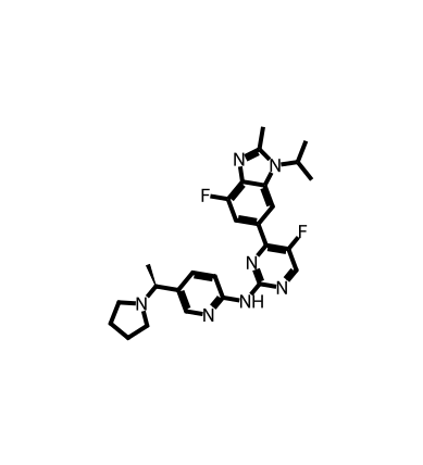 Cc1nc2c(F)cc(-c3nc(Nc4ccc([C@H](C)N5CCCC5)cn4)ncc3F)cc2n1C(C)C